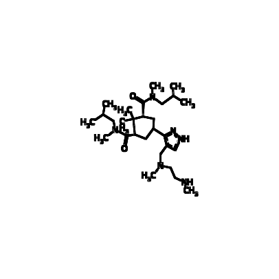 CNCCN(C)Cc1c[nH]nc1C1C[C@H](C(=O)N(C)CC(C)C)C(C)(C)[C@H](C(=O)N(C)CC(C)C)C1